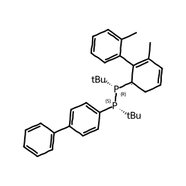 CC1=C(c2ccccc2C)[C]([P@]([P@@](c2ccc(-c3ccccc3)cc2)C(C)(C)C)C(C)(C)C)CC=C1